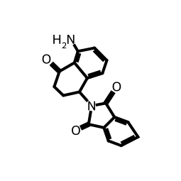 Nc1cccc2c1C(=O)CCC2N1C(=O)c2ccccc2C1=O